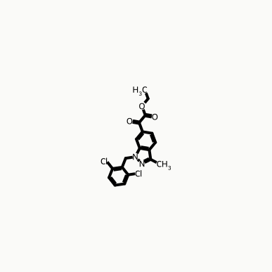 CCOC(=O)C(=O)c1ccc2c(C)nn(Cc3c(Cl)cccc3Cl)c2c1